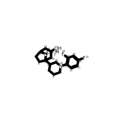 O=C(O)N1C2CCC1(C1CCCN(c3ccc(F)cc3F)C1)CC(O)C2